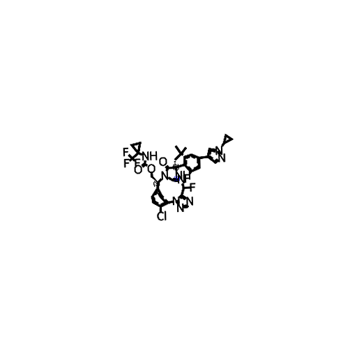 CC(C)(C)C[C@]1(c2ccc(-c3cnn(C4CC4)c3)cc2F)N/C2=N\C(F)c3ncnn3-c3cc(ccc3Cl)[C@@H](COC(=O)NC3(C(F)(F)F)CC3)N2C1=O